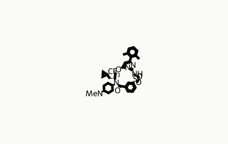 CN[C@H]1CC[C@@H](N2C(=O)c3cccc(c3)S(=O)(=O)Nc3nc(cc(-c4c(C)cccc4C)n3)OC[C@H]2CC2(C(F)(F)F)CC2)CC1